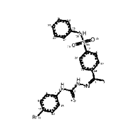 CC(=NNC(=S)Nc1ccc(Br)cc1)c1ccc(S(=O)(=O)Nc2ccccc2)cc1